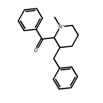 C[N+]1CCCC(Cc2ccccc2)C1C(=O)c1ccccc1